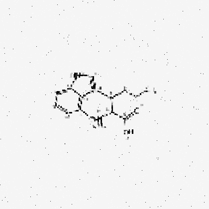 CCCC(c1c[nH]c2cccc(C)c12)C(N)C(=O)O